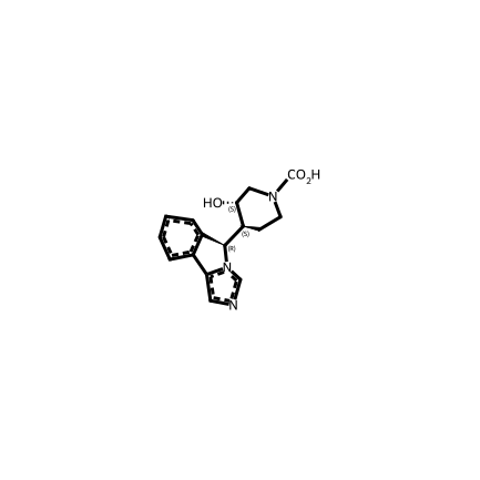 O=C(O)N1CC[C@@H]([C@@H]2c3ccccc3-c3cncn32)[C@H](O)C1